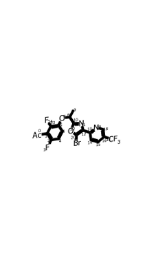 CC(=O)c1c(F)ccc(OC(C)c2nc(-c3ccc(C(F)(F)F)cn3)c(Br)o2)c1F